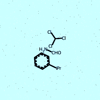 CC(C)c1ccccc1.ClC(Cl)Cl.NC=O